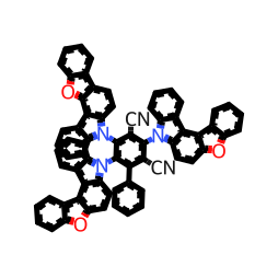 N#Cc1c(-c2ccccc2)c(-n2c3ccccc3c3c4c(ccc32)oc2ccccc24)c(-n2c3ccccc3c3c4oc5ccccc5c4ccc32)c(C#N)c1-n1c2ccccc2c2c3c(ccc21)oc1ccccc13